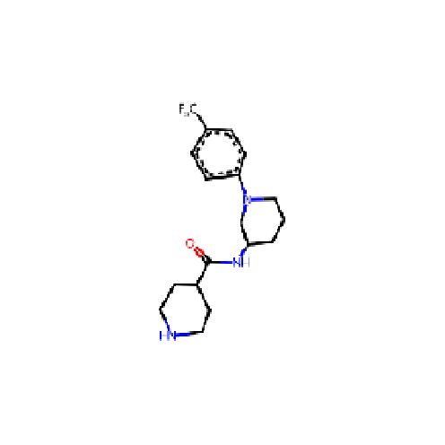 O=C(N[C@@H]1CCCN(c2ccc(C(F)(F)F)cc2)C1)C1CCNCC1